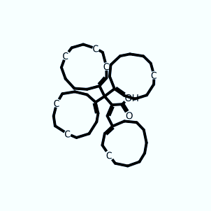 O=C(O)C(=C/C1=C/CCCCCCCCCC1)C(/C1=C/CCCCCCCCCC1)(/C1=C/CCCCCCCCCC1)/C1=C/CCCCCCCCCC1